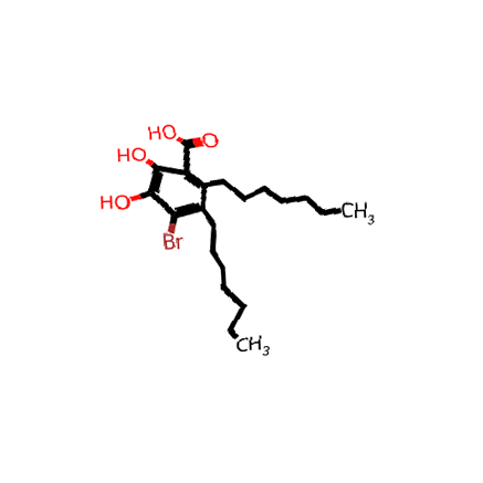 CCCCCCCc1c(Br)c(O)c(O)c(C(=O)O)c1CCCCCCC